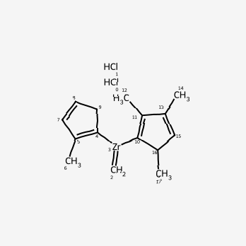 Cl.Cl.[CH2]=[Zr]([C]1=C(C)C=CC1)[C]1=C(C)C(C)=CC1C